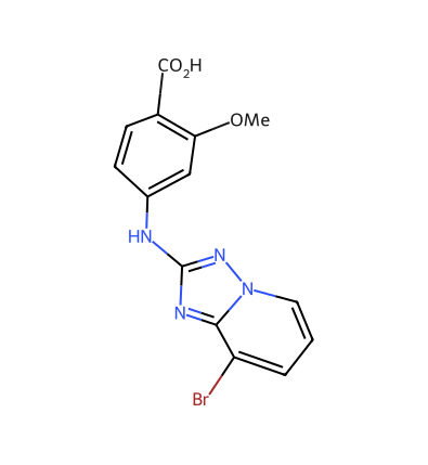 COc1cc(Nc2nc3c(Br)cccn3n2)ccc1C(=O)O